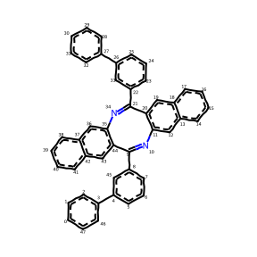 c1ccc(-c2cccc(/C3=N/c4cc5ccccc5cc4/C(c4cccc(-c5ccccc5)c4)=N\c4cc5ccccc5cc43)c2)cc1